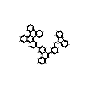 C1=Cc2c(c3ccccc3c3c4ccccc4c4ccc(-c5ccc6c(-c7cccc(Cn8c9ccccc9c9ccccc98)c7)cc7ccccc7c6c5)cc4c23)CC1